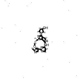 C[C@H]1CCOc2c(cnn2C)-c2nccc(n2)Nc2cc3c(cn2)c(N2CC[C@@H](O)C2)nn31